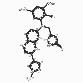 COc1cc(OC)c(F)c(N(Cc2n[nH]c(=O)o2)c2ccc3ncc(-c4cnn(C)c4)nc3n2)c1